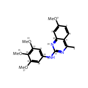 COc1ccc2c(C)nc(Nc3cc(OC)c(OC)c(OC)c3)nc2c1